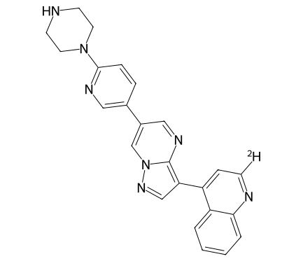 [2H]c1cc(-c2cnn3cc(-c4ccc(N5CCNCC5)nc4)cnc23)c2ccccc2n1